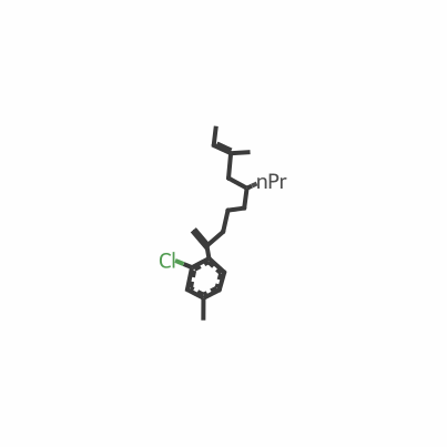 C=C(CCCC(CCC)C/C(C)=C/C)c1ccc(C)cc1Cl